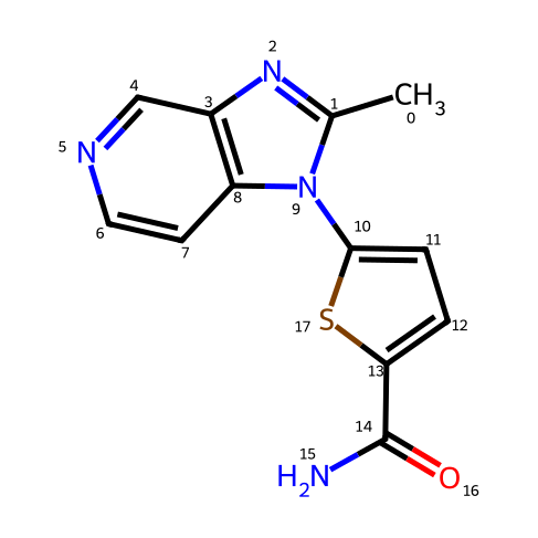 Cc1nc2cnccc2n1-c1ccc(C(N)=O)s1